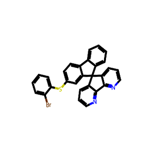 Brc1ccccc1Sc1ccc2c(c1)C1(c3ccccc3-2)c2cccnc2-c2ncccc21